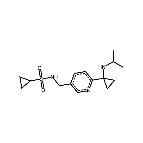 CC(C)NC1(c2ccc(CNS(=O)(=O)C3CC3)cn2)CC1